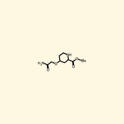 CC(C)(C)OC(=O)C1CC(OCC(N)=O)CCN1